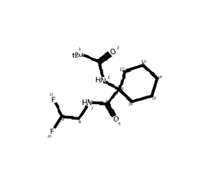 CC(C)(C)C(=O)NC1(C(=O)NCC(F)F)CCCCC1